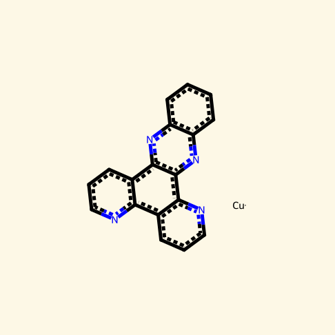 [Cu].c1ccc2nc3c4ncccc4c4ncccc4c3nc2c1